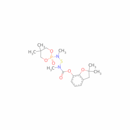 CN(SN(C)P1(=O)OCC(C)(C)CO1)C(=O)Oc1cccc2c1OC(C)(C)C2